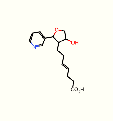 O=C(O)CCC=CCCC1C(O)COC1c1cccnc1